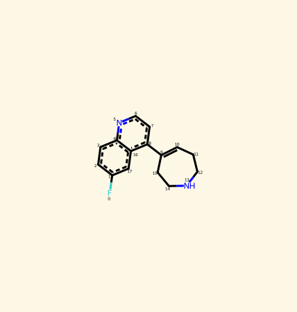 Fc1ccc2nccc(C3=CCCNCC3)c2c1